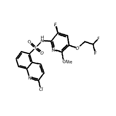 COc1nc(NS(=O)(=O)c2cccc3nc(Cl)ccc23)c(F)cc1OCC(F)F